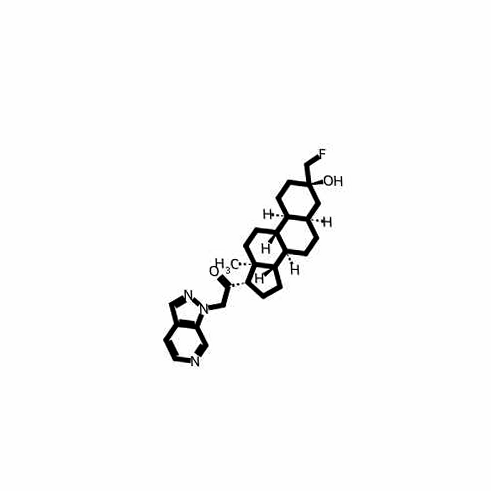 C[C@]12CC[C@H]3[C@@H](CC[C@@H]4C[C@@](O)(CF)CC[C@@H]43)[C@@H]1CC[C@@H]2C(=O)Cn1ncc2ccncc21